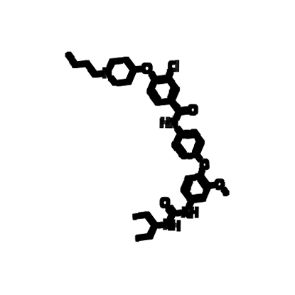 CCCCN1CCC(Oc2ccc(C(=O)Nc3ccc(Oc4ccc(NC(=O)NC(CC)CC)cc4OC)cc3)cc2Cl)CC1